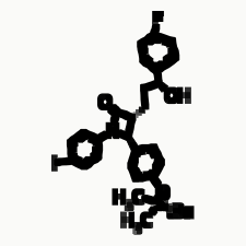 CC(C)(C)[Si](C)(C)Oc1ccc([C@@H]2[C@@H](CC[C@H](O)c3ccc(F)cc3)C(=O)N2c2ccc(I)cc2)cc1